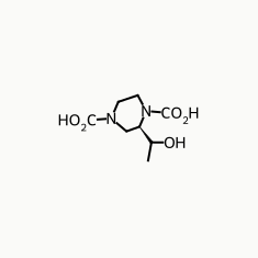 CC(O)[C@H]1CN(C(=O)O)CCN1C(=O)O